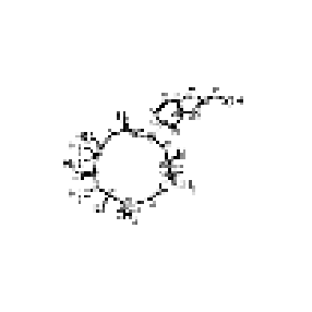 CC1C(=O)C(C)(C)[C@@H](O)CC(=O)O[C@H](c2ccc3oc(CO)nc3c2)C[C@@H]2O[C@]2(C)CCC[C@H](C)C1O